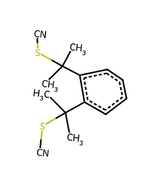 CC(C)(SC#N)c1ccccc1C(C)(C)SC#N